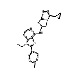 CCn1c(-c2cnc(C)nc2)nc2c(NC3Cc4nnc(C5CC5)n4C3)ncnc21